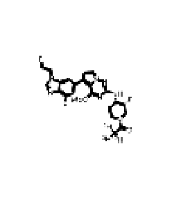 [2H]C([2H])([2H])C(=O)N1CC[C@H](Nc2nc(OC)c3c(-c4cc(F)c5ncn(CCF)c5c4)ccn3n2)[C@H](F)C1